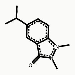 CC(C)c1ccc2c(c1)c(=O)n(C)n2C